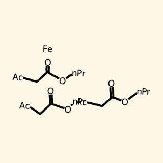 CCCOC(=O)CC(C)=O.CCCOC(=O)CC(C)=O.CCCOC(=O)CC(C)=O.[Fe]